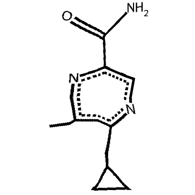 Cc1nc(C(N)=O)cnc1C1CC1